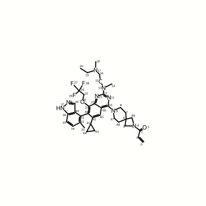 C=CC(=O)N1CC2(CCN(c3nc(N(C)CCN(C)CC)nc4c(OCC(F)(F)F)c(-c5c(C)ccc6[nH]ncc56)c(C5CC5)cc34)CC2)C1